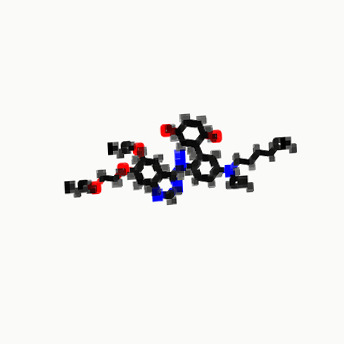 CCCCCN(C)c1ccc(Nc2ncnc3cc(OCCOC)c(OC)cc23)c(C2=CC(=O)C=CC2=O)c1